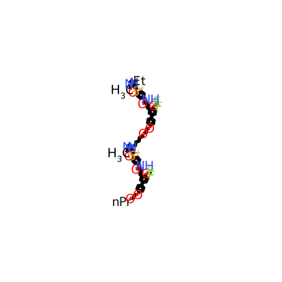 CCCOCCOc1ccc(-c2ccc(OC(F)F)c(/C=C/C(=O)Nc3ccc([S@@+]([O-])Cc4c(C)ncn4CCCCCOCCOc4ccc(-c5ccc(OC(F)F)c(/C=C/C(=O)Nc6ccc([S@+]([O-])Cc7c(C)ncn7CC)cc6)c5)cc4)cc3)c2)cc1